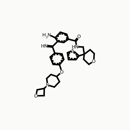 N=C(c1ccc(OC2CCN(C3COC3)CC2)cc1)c1cc(C(=O)NCC2(c3cccs3)CCOCC2)ccc1N